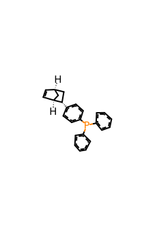 C1=C[C@H]2C[C@@H]1C[C@@H]2c1ccc(P(c2ccccc2)c2ccccc2)cc1